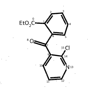 CCOC(=O)c1ccccc1C(=O)c1cccnc1Cl